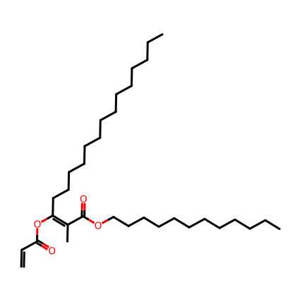 C=CC(=O)OC(CCCCCCCCCCCCCC)=C(C)C(=O)OCCCCCCCCCCCC